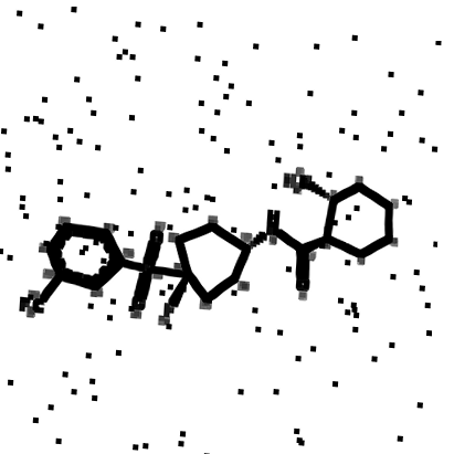 N[C@@H]1CCCC[C@H]1C(=O)N[C@H]1CC[C@@](F)(S(=O)(=O)c2cccc(C(F)(F)F)c2)CC1